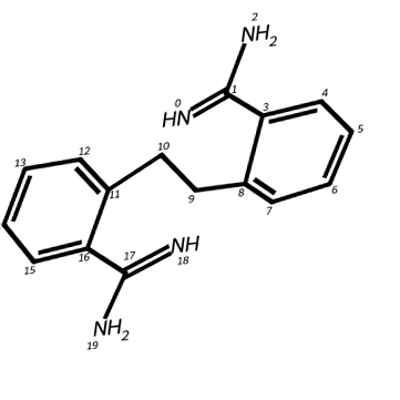 N=C(N)c1ccccc1CCc1ccccc1C(=N)N